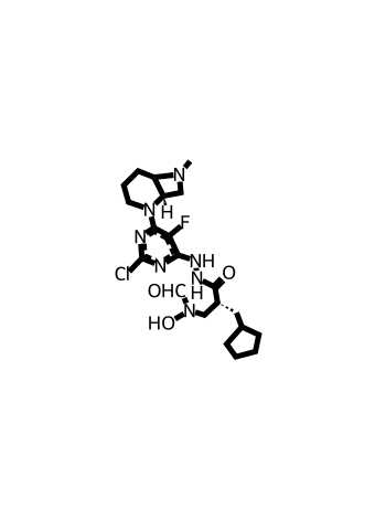 CN1C[C@@H]2C1CCCN2c1nc(Cl)nc(NNC(=O)[C@H](CC2CCCC2)CN(O)C=O)c1F